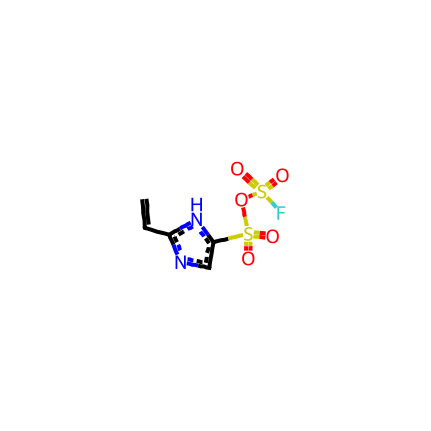 C=Cc1ncc(S(=O)(=O)OS(=O)(=O)F)[nH]1